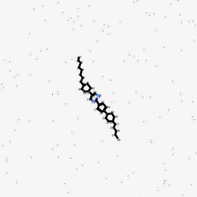 CCCCCCCCC1CCC(c2cnc(-c3ccc(C4CCC(CCCCC)CC4)cc3)nc2)CC1